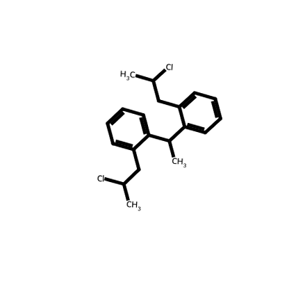 CC(Cl)Cc1ccccc1C(C)c1ccccc1CC(C)Cl